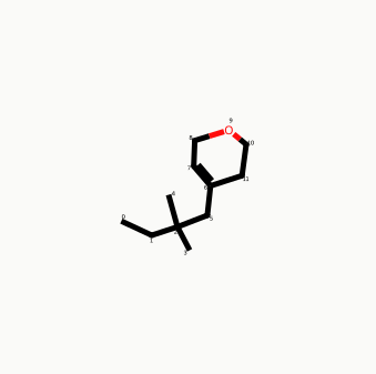 CCC(C)(C)CC1=CCOCC1